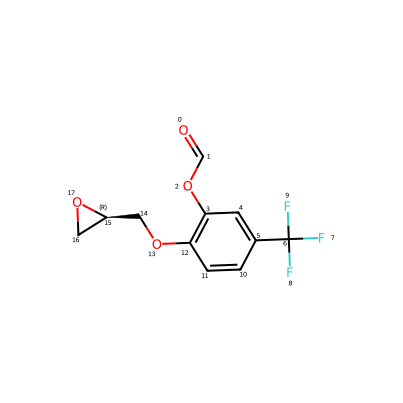 O=COc1cc(C(F)(F)F)ccc1OC[C@H]1CO1